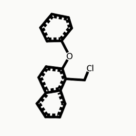 ClCc1c(Oc2ccccc2)ccc2ccccc12